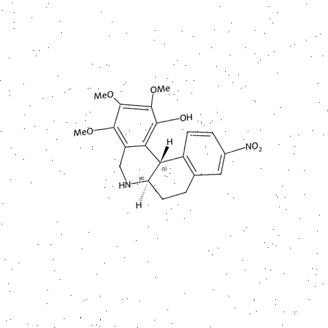 COc1c(O)c2c(c(OC)c1OC)CN[C@@H]1CCc3cc([N+](=O)[O-])ccc3[C@@H]21